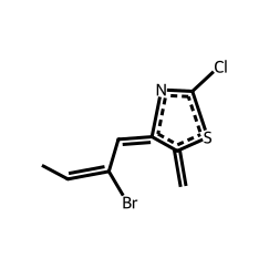 C=c1sc(Cl)n/c1=C/C(Br)=C\C